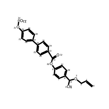 C=CCOC(C#N)c1ccc(OC(=O)c2ccc(-c3ccc(OCCCCCCCC)cc3)cc2)cc1